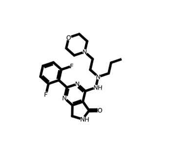 CCCN(CCN1CCOCC1)Nc1nc(-c2c(F)cccc2F)nc2c1C(=O)NC2